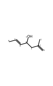 C=C(C)CC(O)C=CC